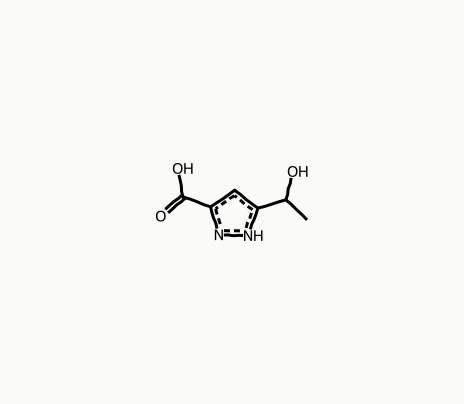 CC(O)c1cc(C(=O)O)n[nH]1